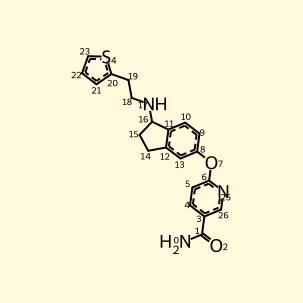 NC(=O)c1ccc(Oc2ccc3c(c2)CCC3NCCc2cccs2)nc1